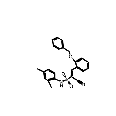 Cc1ccc(NS(=O)(=O)C(C#N)=Cc2ccccc2OCc2ccccc2)c(C)c1